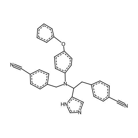 N#Cc1ccc(CC(c2cnc[nH]2)N(Cc2ccc(C#N)cc2)c2ccc(Oc3ccccc3)cc2)cc1